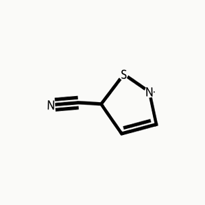 N#CC1C=C[N]S1